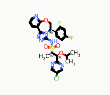 CC(C)O[C@@H](c1ncc(Cl)cn1)[C@H](C)S(=O)(=O)Nc1nnc2n1[C@H](c1ccc(F)cc1F)COc1ncccc1-2